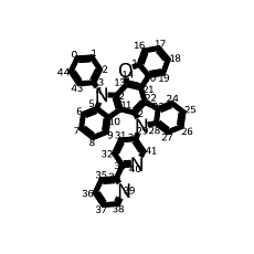 c1ccc(-n2c3ccccc3c3c2c2oc4ccccc4c2c2c4ccccc4n(-c4ccc(-c5ccccn5)nc4)c23)cc1